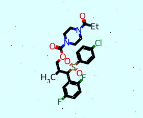 CCC(=O)N1CCN(C(=O)OCC(C)C(c2cc(F)ccc2F)S(=O)(=O)c2ccc(Cl)cc2)CC1